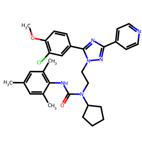 COc1ccc(-c2nc(-c3ccncc3)nn2CCN(C(=O)Nc2c(C)cc(C)cc2C)C2CCCC2)cc1Cl